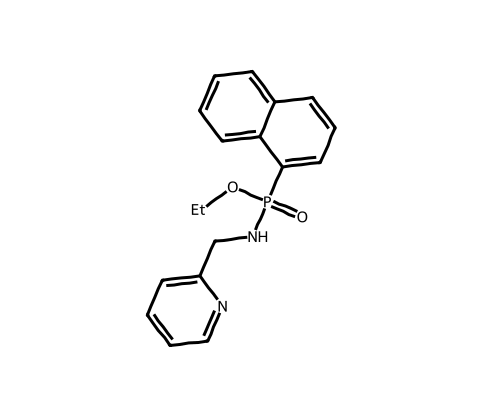 CCOP(=O)(NCc1ccccn1)c1cccc2ccccc12